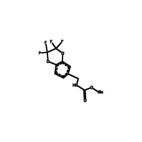 CC(C)(C)OC(=O)NCc1ccc2c(c1)OC(F)(F)C(F)(F)O2